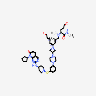 CNC(=O)C(CCC=O)N(C)C/C(C)=C/C(=C\C=C\C=O)N1CC(N2CCN(c3cccc(SN4CCC(Nc5ncc6ccc(=O)n(C7CCCC7)c6n5)CC4)c3)CC2)C1